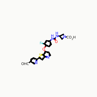 O=Cc1ccc(-c2cc3nccc(Oc4ccc(NC(=O)NC5CN(C(=O)O)C5)cc4F)c3s2)nc1